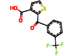 O=C(O)c1ccsc1C(=O)c1cccc(C(F)(F)F)c1